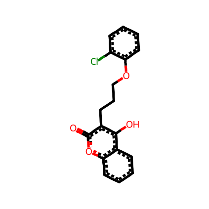 O=c1oc2ccccc2c(O)c1CCCOc1ccccc1Cl